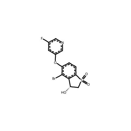 O=S1(=O)C[C@H](O)c2c1ccc(Oc1cncc(F)c1)c2Br